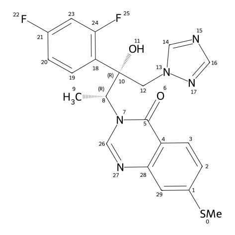 CSc1ccc2c(=O)n([C@H](C)[C@](O)(Cn3cncn3)c3ccc(F)cc3F)cnc2c1